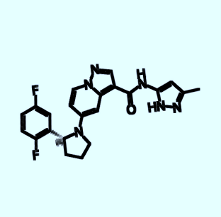 Cc1cc(NC(=O)c2cnn3ccc(N4CCC[C@@H]4c4cc(F)ccc4F)cc23)[nH]n1